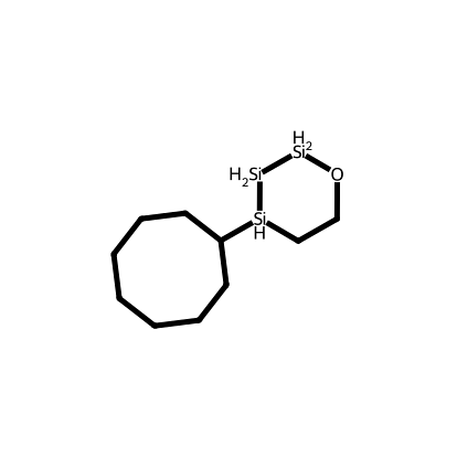 C1CCCC([SiH]2CCO[SiH2][SiH2]2)CCC1